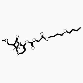 CCCCOCCCCOC(=O)COC(=O)OC1=CCS[C@H]2C(COC)C(=O)N12